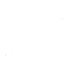 CCCCCCCCC1CC1CCCCCCCC(=O)OCC